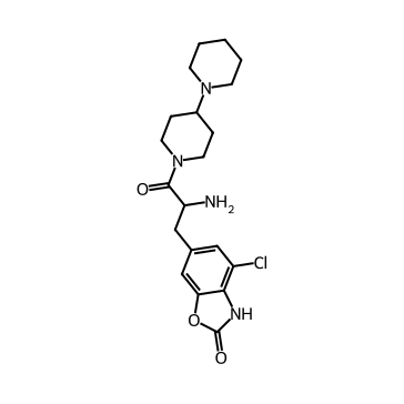 NC(Cc1cc(Cl)c2[nH]c(=O)oc2c1)C(=O)N1CCC(N2CCCCC2)CC1